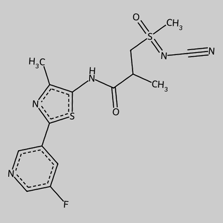 Cc1nc(-c2cncc(F)c2)sc1NC(=O)C(C)CS(C)(=O)=NC#N